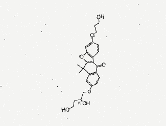 CC1(C)c2cc(OC[C@@H](O)CCO)ccc2C(=O)c2c1oc1cc(OCCCO)ccc21